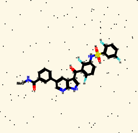 CONC(=O)c1cccc(-c2cnc3[nH]cc(C(=O)c4c(F)ccc(NS(=O)(=O)c5cc(F)ccc5F)c4F)c3c2)c1